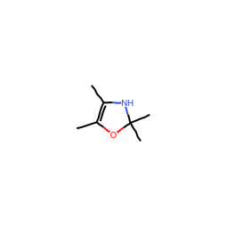 CC1=C(C)OC(C)(C)N1